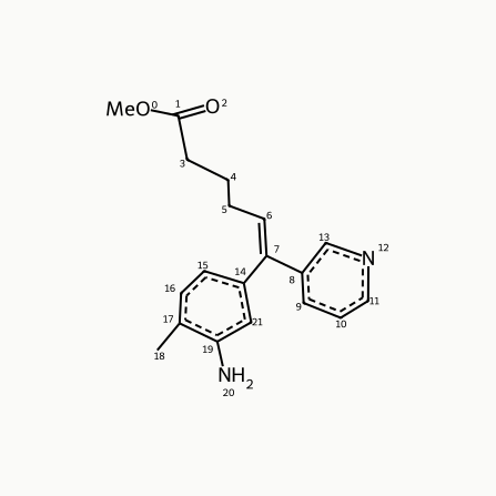 COC(=O)CCCC=C(c1cccnc1)c1ccc(C)c(N)c1